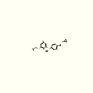 Cc1cc(-n2cnc3c(NCC(C)C)cc(Br)cc32)ccc1C(=O)NC1CC1